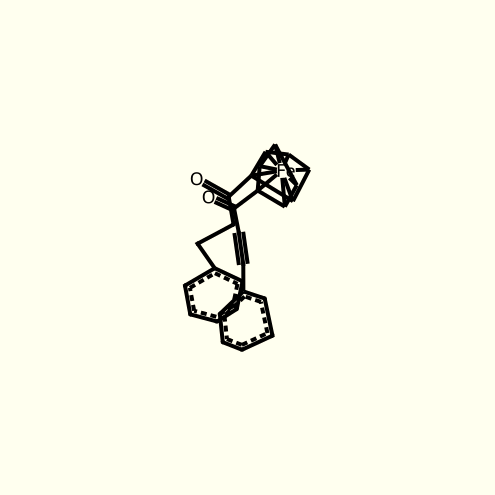 O=C(C#Cc1ccccc1)[C]12[CH]3[CH]4[CH]5[CH]1[Fe]45321678[CH]2[CH]1[CH]6[C]7(C(=O)CCc1ccccc1)[CH]28